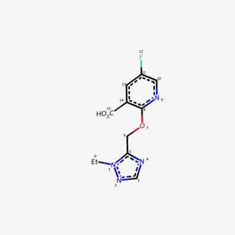 CCn1ncnc1COc1ncc(F)cc1C(=O)O